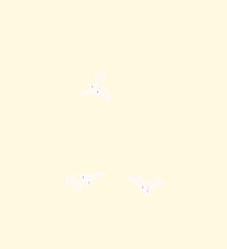 Cn1cccc1.Nc1ccccn1